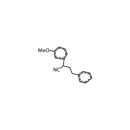 COc1cccc(C(C#N)CCc2ccccc2)c1